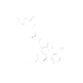 COc1ccc(Cl)cc1[C@]1(F)C(=O)N(COC(=O)CCOP(=O)(OC(C)(C)C)OC(C)(C)C)c2cc(C(F)(F)F)ccc21